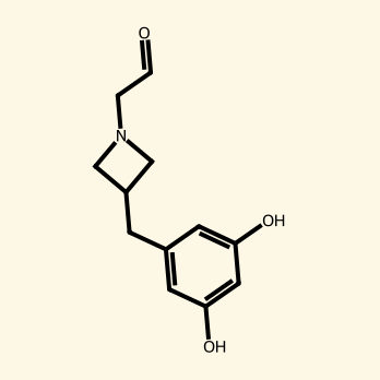 O=CCN1CC(Cc2cc(O)cc(O)c2)C1